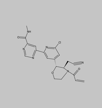 C=CC(=O)N1CCO[C@H](c2cc(Cl)nc(-c3cc(C(=O)NC)ncn3)c2)[C@H]1CC#N